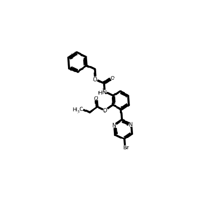 CCC(=O)Oc1c(NC(=O)OCc2ccccc2)cccc1-c1ncc(Br)cn1